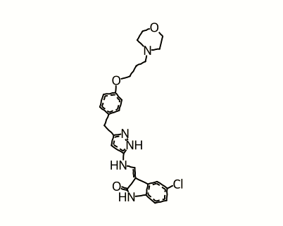 O=C1Nc2ccc(Cl)cc2C1=CNc1cc(Cc2ccc(OCCCN3CCOCC3)cc2)n[nH]1